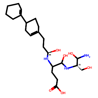 NC(O)[C@H](CO)NC(O)C(CCC(=O)O)N[C@H](O)CCC1=CCC(C2=CCCCC2)CC1